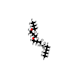 O=C(NS(=O)(=O)C(F)(F)C(F)(F)C(F)(F)C(F)(F)F)C(F)(OC(F)(F)C(F)(OC(F)(F)C(F)(F)C(F)(F)F)C(F)(F)F)C(F)(F)F